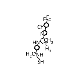 C=C(NCCS)c1ccc(NC(CCc2ccc(-c3ccc(C(F)(F)F)cc3Cl)cn2)CC(C)C)cc1